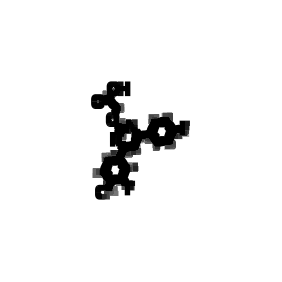 O=C(O)COc1nc(-c2ccc(F)cc2)cc(-c2ccc(Cl)c(F)c2)n1